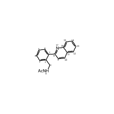 CC(=O)NCc1ccccc1-c1c[c]c2ccccc2n1